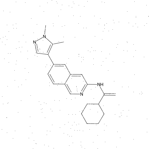 C=C(Nc1cc2cc(-c3cnn(C)c3C)ccc2cn1)C1CCCCC1